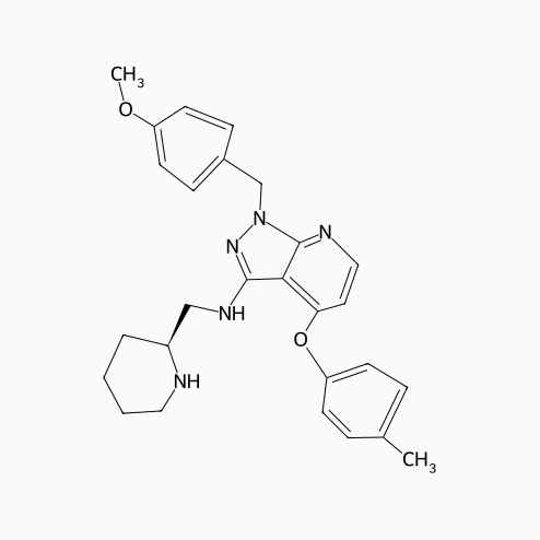 COc1ccc(Cn2nc(NC[C@@H]3CCCCN3)c3c(Oc4ccc(C)cc4)ccnc32)cc1